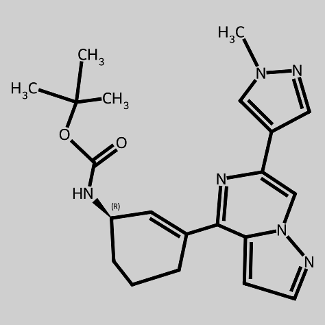 Cn1cc(-c2cn3nccc3c(C3=C[C@H](NC(=O)OC(C)(C)C)CCC3)n2)cn1